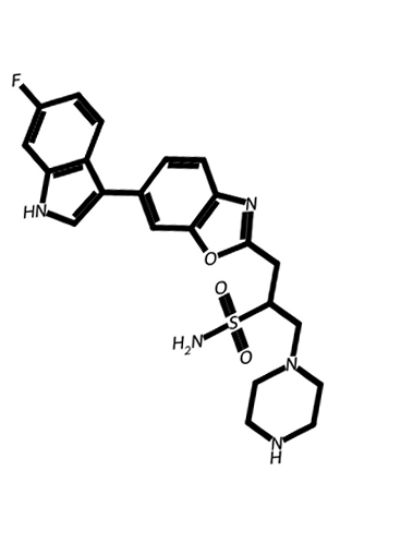 NS(=O)(=O)C(Cc1nc2ccc(-c3c[nH]c4cc(F)ccc34)cc2o1)CN1CCNCC1